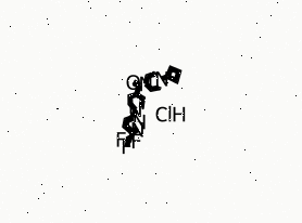 Cl.O=C(C1CCN(c2ccc(C(F)(F)F)nn2)CC1)N1CCN(C2CCC2)CC1